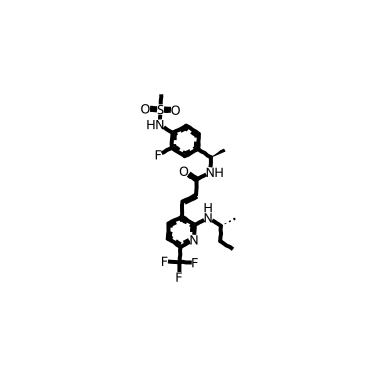 CC[C@@H](C)Nc1nc(C(F)(F)F)ccc1C=CC(=O)N[C@H](C)c1ccc(NS(C)(=O)=O)c(F)c1